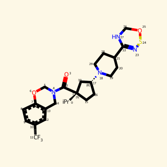 CC(C)[C@]1(C(=O)N2COc3ccc(C(F)(F)F)cc3C2)CC[C@@H](N2CCC(C3=NSOCN3)CC2)C1